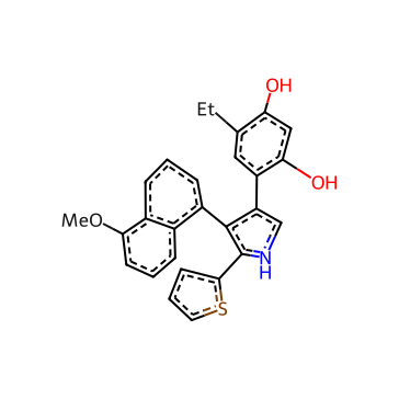 CCc1cc(-c2c[nH]c(-c3cccs3)c2-c2cccc3c(OC)cccc23)c(O)cc1O